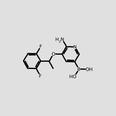 CC(Oc1cc(B(O)O)cnc1N)c1c(F)cccc1F